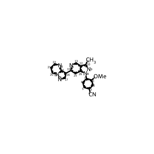 COc1cc(C#N)ccc1-n1nc(C)c2cnc(-c3cnn4cccnc34)cc21